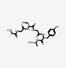 C[C@H](N)C(=O)NCC(=O)N[C@@H](CS)C(=O)NCC(=O)N[C@@H](Cc1ccc(O)cc1)C(=O)N[C@@H](C)[C]=O